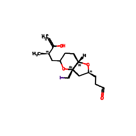 C=C(O)[C@H](C)CC1CC[C@@H]2O[C@@H](CCC=O)C[C@]2(CI)O1